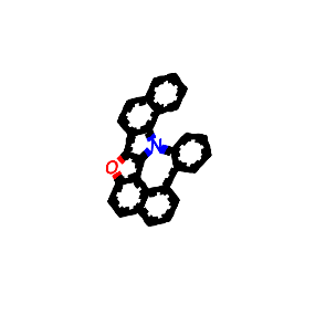 c1ccc2c(c1)ccc1c3oc4ccc5cccc6c7ccccc7n(c21)c3c4c56